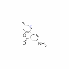 C=C/C=C\c1c(C)oc(=O)c2cc(N)ccc12